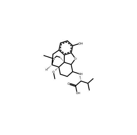 CO[C@@]12CCC(N[C@@H](C(=O)O)C(C)C)C3Oc4c(O)ccc5c4[C@@]31CCN(C)[C@@H]2C5